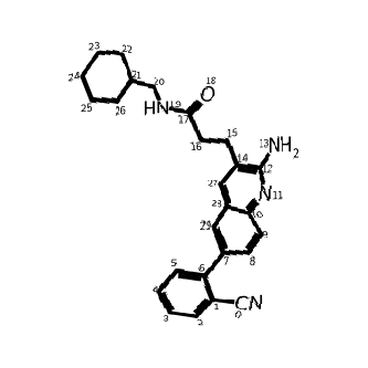 N#Cc1ccccc1-c1ccc2nc(N)c(CCC(=O)NCC3CCCCC3)cc2c1